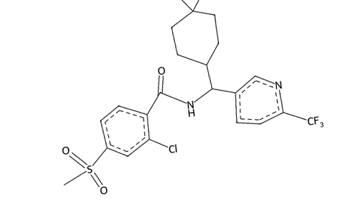 CS(=O)(=O)c1ccc(C(=O)NC(c2ccc(C(F)(F)F)nc2)C2CCC(F)(F)CC2)c(Cl)c1